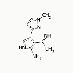 CC(=N)c1c(-c2ccn(C)n2)c[nH]c1N